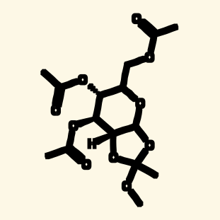 COC1(C)OC2OC(COC(C)=O)[C@@H](OC(C)=O)[C@H](OC(C)=O)[C@H]2O1